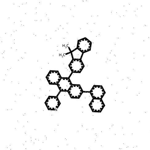 CC1(C)c2ccccc2-c2ccc(-c3c4ccccc4c(-c4cccnc4)c4ccc(-c5cccc6ccccc56)cc34)cc21